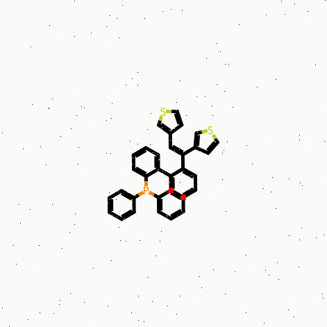 C(=C(/c1ccsc1)c1ccccc1-c1ccccc1P(c1ccccc1)c1ccccc1)/c1ccsc1